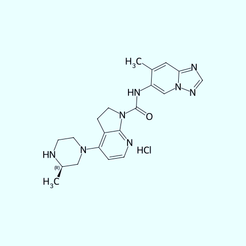 Cc1cc2ncnn2cc1NC(=O)N1CCc2c(N3CCN[C@H](C)C3)ccnc21.Cl